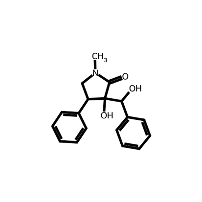 CN1CC(c2ccccc2)C(O)(C(O)c2ccccc2)C1=O